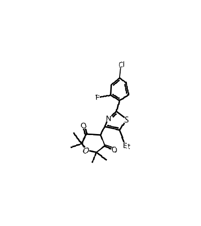 CCc1sc(-c2ccc(Cl)cc2F)nc1C1C(=O)C(C)(C)OC(C)(C)C1=O